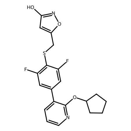 Oc1cc(CSc2c(F)cc(-c3cccnc3OC3CCCC3)cc2F)on1